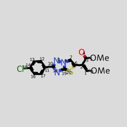 CO/C=C(\C(=O)OC)c1cn2nc(-c3ccc(Cl)cc3)nc2s1